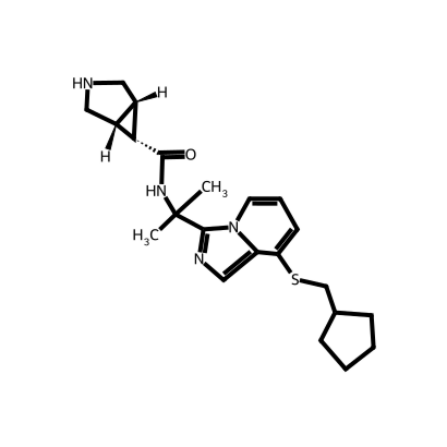 CC(C)(NC(=O)[C@@H]1[C@@H]2CNC[C@@H]21)c1ncc2c(SCC3CCCC3)cccn12